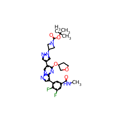 CNC(=O)c1cc(F)c(F)c(-c2cnn3cc(-c4cnn(C5CN(C(=O)OC(C)(C)C)C5)c4)c(O[C@H]4CCOC4)nc23)c1